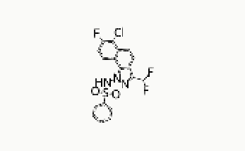 O=S(=O)(Nn1nc(C(F)F)c2ccc3c(Cl)c(F)ccc3c21)c1ccccc1